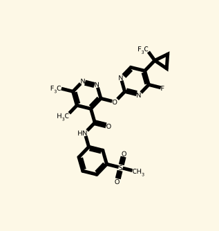 Cc1c(C(F)(F)F)nnc(Oc2ncc(C3(C(F)(F)F)CC3)c(F)n2)c1C(=O)Nc1cccc(S(C)(=O)=O)c1